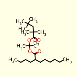 CCCCCCC(CCCC)C(=O)OC(C)(C)OC(=O)C(C)(C)CC(C)(C)C